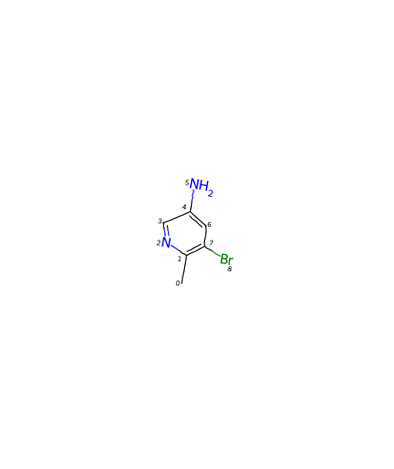 Cc1ncc(N)cc1Br